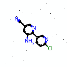 N#Cc1cnc(-c2ccc(Cl)nc2)c(N)c1